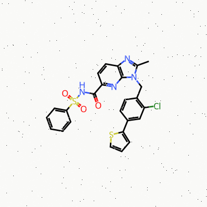 Cc1nc2ccc(C(=O)NS(=O)(=O)c3ccccc3)nc2n1Cc1ccc(-c2cccs2)cc1Cl